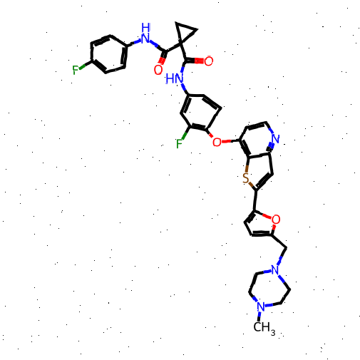 CN1CCN(Cc2ccc(-c3cc4nccc(Oc5ccc(NC(=O)C6(C(=O)Nc7ccc(F)cc7)CC6)cc5F)c4s3)o2)CC1